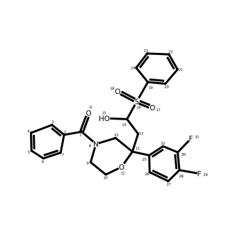 O=C(c1ccccc1)N1CCOC(CC(O)S(=O)(=O)c2ccccc2)(c2ccc(F)c(F)c2)C1